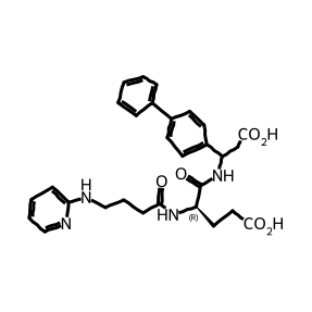 O=C(O)CC[C@@H](NC(=O)CCCNc1ccccn1)C(=O)NC(CC(=O)O)c1ccc(-c2ccccc2)cc1